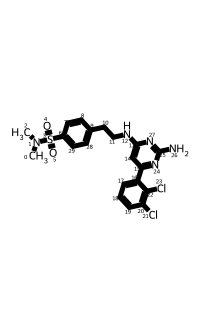 CN(C)S(=O)(=O)c1ccc(CCNc2cc(-c3cccc(Cl)c3Cl)nc(N)n2)cc1